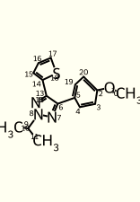 COc1ccc(-c2nn(C(C)C)nc2-c2cccs2)cc1